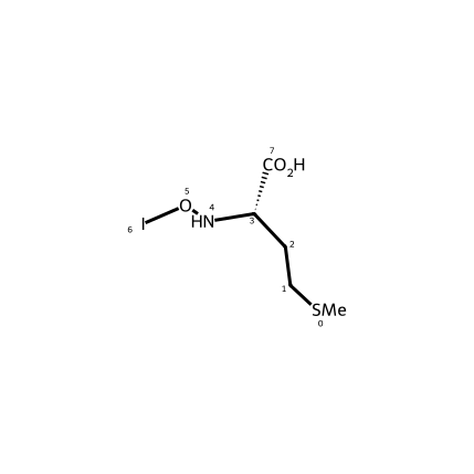 CSCC[C@H](NOI)C(=O)O